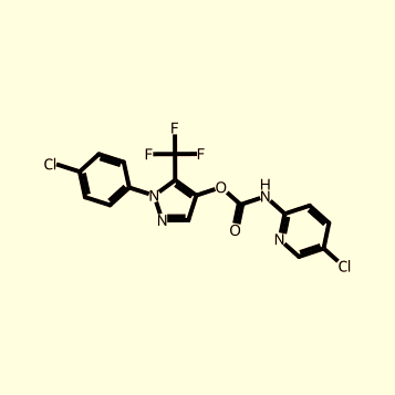 O=C(Nc1ccc(Cl)cn1)Oc1cnn(-c2ccc(Cl)cc2)c1C(F)(F)F